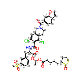 CC(OC(=O)CCCC[C@@H]1CCS[S+]1[O-])OC(=O)C(Cc1cccc(S(C)(=O)=O)c1)NC(=O)c1c(Cl)cc2c(c1Cl)CCN(C(=O)c1ccc3ccoc3c1)C2